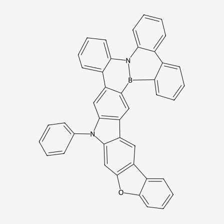 c1ccc(-n2c3cc4c(cc3c3cc5c(cc32)oc2ccccc25)B2c3ccccc3-c3ccccc3N2c2ccccc2-4)cc1